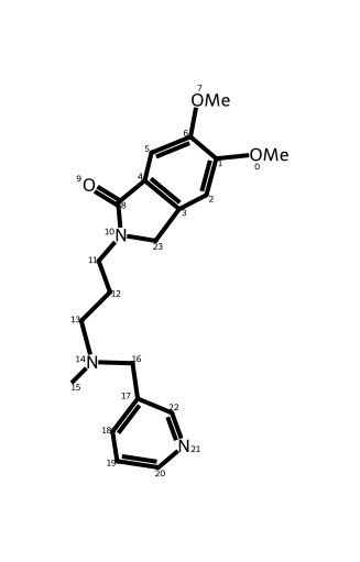 COc1cc2c(cc1OC)C(=O)N(CCCN(C)Cc1cccnc1)C2